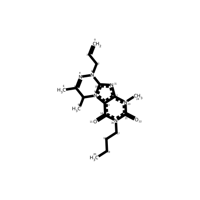 C=CCN1N=C(C)C(C)n2c1nc1c2c(=O)n(CCCC)c(=O)n1C